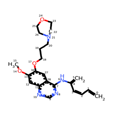 C=C/C=C\C(=C)Nc1ncnc2cc(OC)c(OCCCN3CCOCC3)cc12